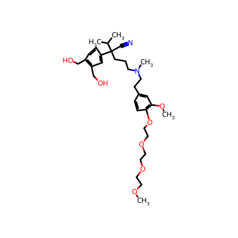 COCCOCCOCCOc1ccc(CCN(C)CCCC(C#N)(c2ccc(CO)c(CO)c2)C(C)C)cc1OC